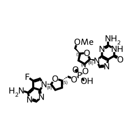 COC[C@@H]1C[C@@H](OP(=O)(O)OC[C@@H]2CC[C@H](n3cc(F)c4c(N)ncnc43)O2)[C@H](n2cnc3c(=O)[nH]c(N)nc32)O1